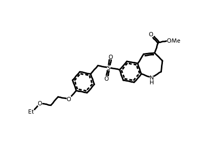 CCOCCOc1ccc(CS(=O)(=O)c2ccc3c(c2)C=C(C(=O)OC)CCN3)cc1